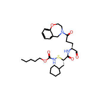 CCCCCOC(=O)NS[C@@H](CC1CCCCC1)C(=O)N[C@H](C=O)CCC(=O)N1CCOc2ccccc2C1